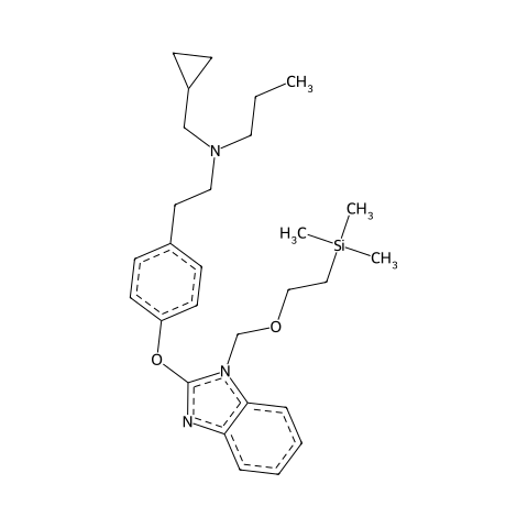 CCCN(CCc1ccc(Oc2nc3ccccc3n2COCC[Si](C)(C)C)cc1)CC1CC1